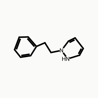 C1=CNN(CCc2ccccc2)C=C1